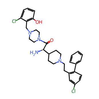 N[C@@H](C(=O)N1CCN(Cc2c(O)cccc2Cl)CC1)C1CCN(CCc2cc(Cl)ccc2-c2ccccc2)CC1